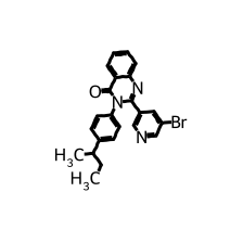 CCC(C)c1ccc(-n2c(-c3cncc(Br)c3)nc3ccccc3c2=O)cc1